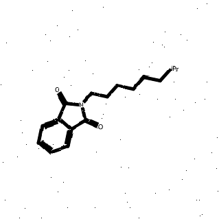 CC(C)CCCCCCN1C(=O)c2ccccc2C1=O